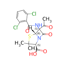 CC(=O)[C@]1(NC(=O)c2c(Cl)cccc2Cl)C(=O)N2[C@@H](C(=O)O)C(C)(C)S[C@@H]21